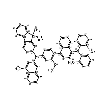 COc1cc(N(c2ccc3c(c2)C(C)(C)c2ccccc2-3)c2cc(C)c3ccccc3c2)ccc1-c1ccc(N(c2ccccc2C)c2ccccc2C)c2ccccc12